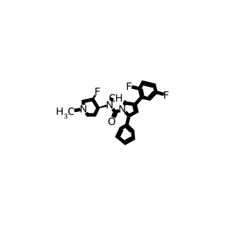 CN1CC[C@H](N(C)C(=O)N2CC(c3cc(F)ccc3F)=CC2c2ccccc2)[C@H](F)C1